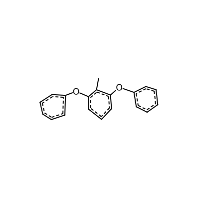 Cc1c(Oc2ccccc2)cccc1Oc1ccccc1